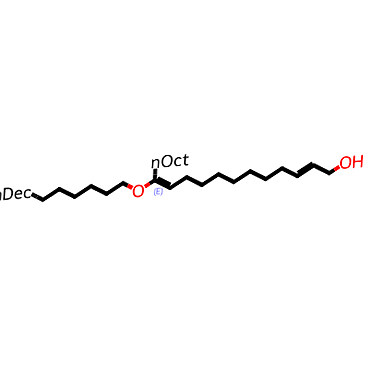 CCCCCCCCCCCCCCCCO/C(=C/CCCCCCCC=CCO)CCCCCCCC